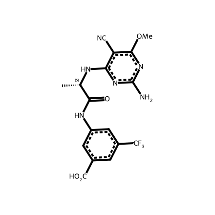 COc1nc(N)nc(N[C@@H](C)C(=O)Nc2cc(C(=O)O)cc(C(F)(F)F)c2)c1C#N